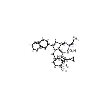 C\N=C(/N=C1/N=C(c2ccc3ccccc3c2)N(Cc2ccc(C(F)(F)F)cc2)/C1=C\N[C@H](C)C1CC1)C(=O)O